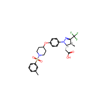 Cc1cccc(S(=O)(=O)N2CCC(Oc3ccc(N4N=C(C(F)(F)F)[C@@H](C)[C@@H]4CC(=O)O)cc3)CC2)c1